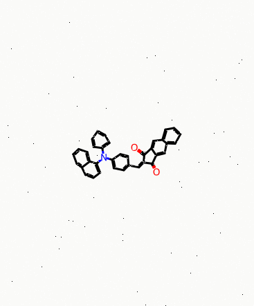 O=C1C(=Cc2ccc(N(c3ccccc3)c3cccc4ccccc34)cc2)C(=O)c2cc3ccccc3cc21